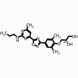 CCCNc1nc(C)cc(-c2nc(-c3cc(C)c(OC[C@H](O)CO)c(C)c3)no2)n1